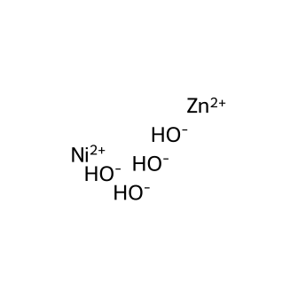 [Ni+2].[OH-].[OH-].[OH-].[OH-].[Zn+2]